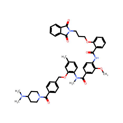 COc1cc(C(=O)N(C)c2ccc(C)cc2OCc2ccc(C(=O)N3CCC(N(C)C)CC3)cc2)ccc1NC(=O)c1ccccc1OCCCN1C(=O)c2ccccc2C1=O